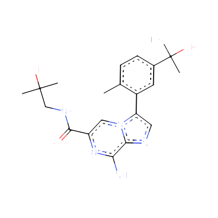 Cc1ccc(C(C)(O)C(F)(F)F)cc1-c1cnc2c(N)nc(C(=O)NCC(C)(C)O)cn12